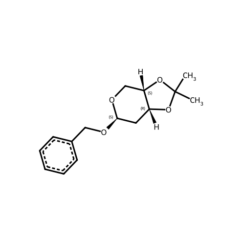 CC1(C)O[C@H]2CO[C@H](OCc3ccccc3)C[C@H]2O1